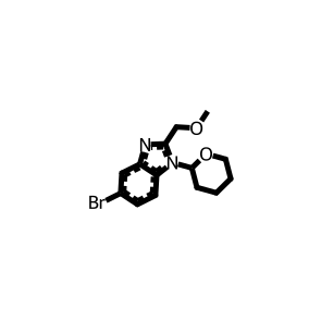 COCc1nc2cc(Br)ccc2n1C1CCCCO1